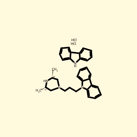 C[C@@H]1CN(CCCn2c3ccccc3c3ccccc32)C[C@H](C)N1.Cl.Cl.c1ccc2c(c1)[nH]c1ccccc12